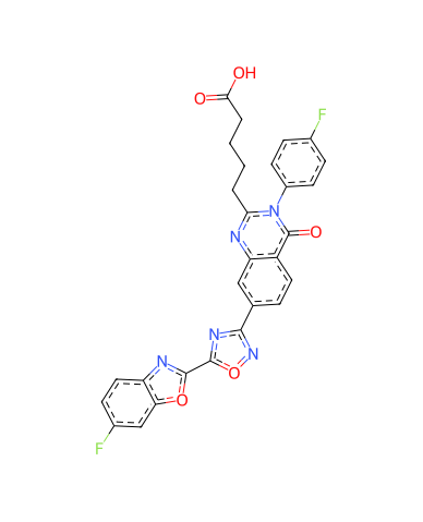 O=C(O)CCCCc1nc2cc(-c3noc(-c4nc5ccc(F)cc5o4)n3)ccc2c(=O)n1-c1ccc(F)cc1